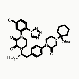 COC1(N2CCN(c3ccc(C[C@@H](C(=O)O)N4CCN(c5cc(Cl)ccc5-n5cnnn5)C(=O)C4=O)cc3)C(=O)C2)CCCCC1